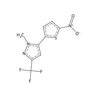 Cn1nc(C(F)(F)F)cc1-c1ccc([N+](=O)[O-])s1